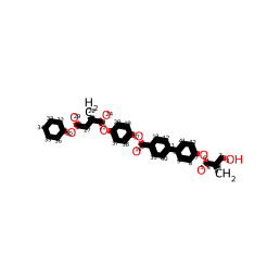 C=C(CO)C(=O)Oc1ccc(-c2ccc(C(=O)Oc3ccc(OC(=O)C(=C)CC(=O)OC4CCCCC4)cc3)cc2)cc1